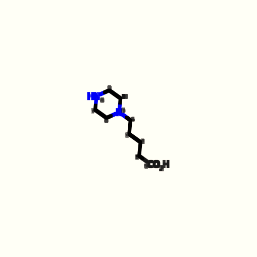 O=C(O)CCCCN1CCNCC1